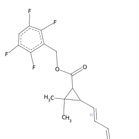 C=C/C=C/C1C(C(=O)OCc2c(F)c(F)cc(F)c2F)C1(C)C